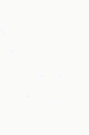 C1COCCN1.CN1CCN(c2ccc3[nH]c(-c4cnc5cccc(F)c5c4N)nc3c2)CC1